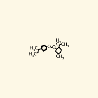 CCC(C)c1ccc(OCOC2CC(C)CCC2C(C)C)cc1